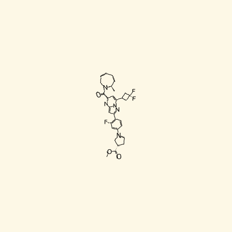 COC(=O)[C@H]1CCN(c2ccc(-c3cc4nc(C(=O)N5CCCCC[C@H]5C)cc(C5CC(F)(F)C5)n4n3)c(F)c2)C1